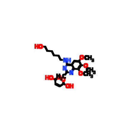 COc1cc2c(NCCCCCCO)nc(C)nc2c(OC)c1OC.O=C(O)/C=C\C(=O)O